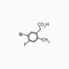 Cc1cc(F)c(Br)cc1CC(=O)O